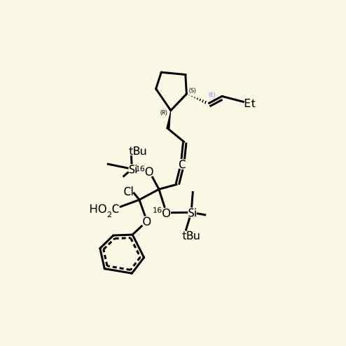 CC/C=C/[C@H]1CCC[C@@H]1CC=C=CC([16O][Si](C)(C)C(C)(C)C)([16O][Si](C)(C)C(C)(C)C)C(Cl)(Oc1ccccc1)C(=O)O